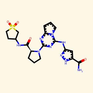 NC(=O)c1cc(Nc2nc(N3CCC[C@H]3C(=O)NC3CCS(=O)(=O)C3)nc3cccn23)n[nH]1